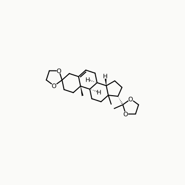 CC1([C@H]2CC[C@H]3[C@@H]4CC=C5CC6(CC[C@@]5(C)[C@@H]4CCC23C)OCCO6)OCCO1